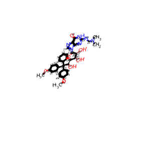 COc1ccc(C(c2ccccc2)(c2ccc(OC)cc2)C(O)[C@H]2O[C@@H](n3cnc4c(=O)[nH]c(N=CN(C)C)nc43)[C@H](O)[C@@H]2O)cc1